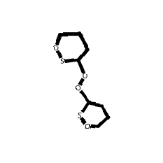 C1COSC(OOC2CCCOS2)C1